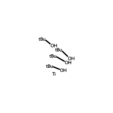 CC(C)(C)O.CC(C)(C)O.CC(C)(C)O.CC(C)(C)O.[Ti]